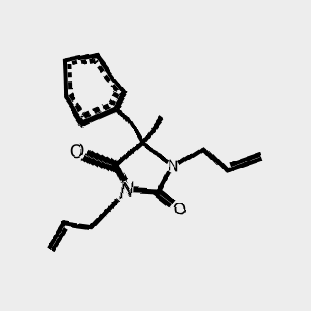 C=CCN1C(=O)N(CC=C)C(C)(c2ccccc2)C1=O